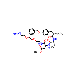 CC(=O)N[C@@H](Cc1ccc(OCc2ccccc2)cc1)C(=O)N[C@H](CC(C)C)C(=O)N[C@@H](CC(=O)OC(C)(C)C)C(=O)NCCOCCOCCN=[N+]=[N-]